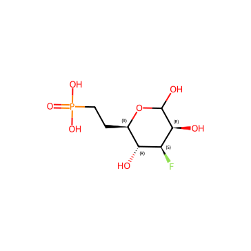 O=P(O)(O)CC[C@H]1OC(O)[C@@H](O)[C@@H](F)[C@@H]1O